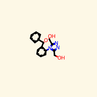 O=C(c1ccccc1)c1ccccc1-n1c(CO)nnc1CO